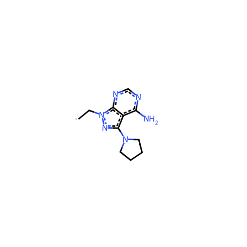 [CH2]Cn1nc(N2CCCC2)c2c(N)ncnc21